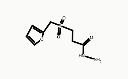 NNC(=O)CCS(=O)(=O)Cc1ccco1